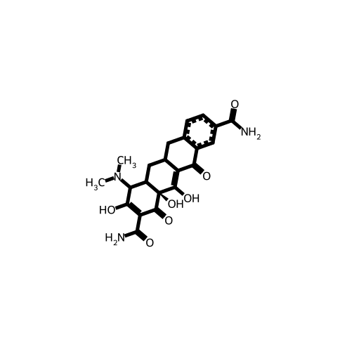 CN(C)C1C(O)=C(C(N)=O)C(=O)[C@@]2(O)C(O)=C3C(=O)c4cc(C(N)=O)ccc4CC3CC12